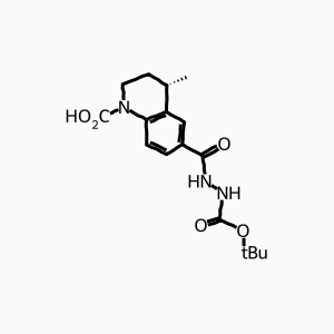 C[C@H]1CCN(C(=O)O)c2ccc(C(=O)NNC(=O)OC(C)(C)C)cc21